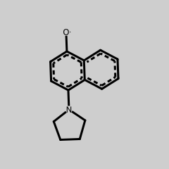 [O]c1ccc(N2CCCC2)c2ccccc12